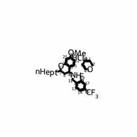 C1=CCOC=C1.CCCCCCCC1CC(NCc2ccc(C(F)(F)F)cc2F)c2ccc(OC)cc2O1.Cl